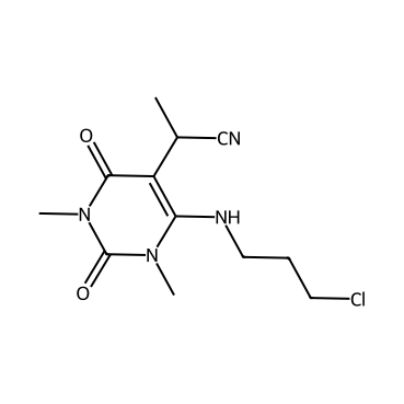 CC(C#N)c1c(NCCCCl)n(C)c(=O)n(C)c1=O